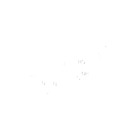 Cc1c(C2CCN(C(=O)N3CCOCC3)CC2)n[nH]c1NCc1ccc(Cl)s1